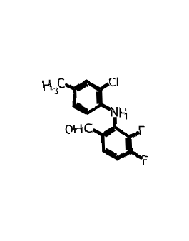 Cc1ccc(Nc2c(C=O)ccc(F)c2F)c(Cl)c1